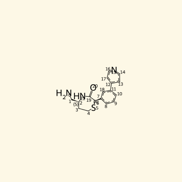 NC[C@@H]1CCS[C@H](c2cccc(-c3ccncc3)c2)C(=O)N1